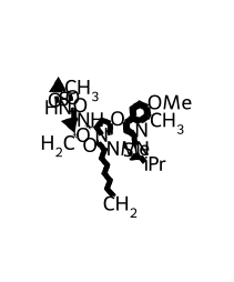 C=CCCCCC[C@H](NC)C(=O)N1CC(Oc2cc(-c3nc(C(C)C)cs3)nc3c(C)c(OC)ccc23)C[C@H]1C(=O)N[C@]1(C(=O)NS(=O)(=O)C2(C)CC2)C[C@H]1C=C